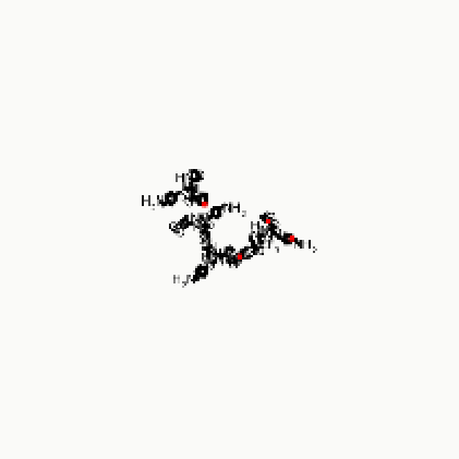 CC1C(c2nc(SCc3ccc(CN)cc3)n(C(=O)c3cscn3)n2)CCCN1S(C)(=O)=O.CC1CN(S(C)(=O)=O)CC1c1nc(OCc2ccc(CN)cc2)n(C(=O)c2ccsc2)n1.NCc1ccc(COc2nc(C3NCCN(C(=O)N4CCOCC4)C3C(F)(F)F)nn2C(=O)c2ccco2)cc1.NCc1ccc(CSc2nc(C3COCCN3)nn2C(=O)c2ccccc2)cc1